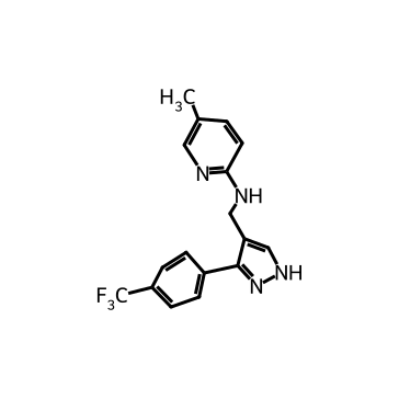 Cc1ccc(NCc2c[nH]nc2-c2ccc(C(F)(F)F)cc2)nc1